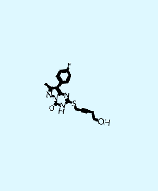 Cc1nn2c(=O)[nH]c(SCC#CCCO)nc2c1-c1ccc(F)cc1